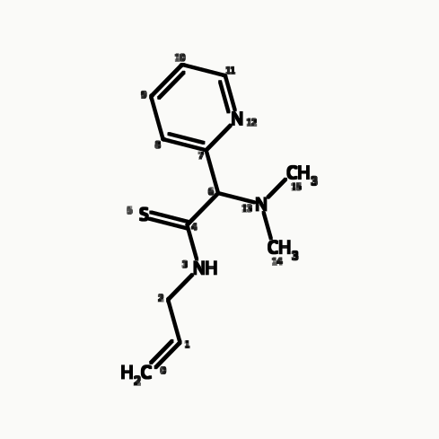 C=CCNC(=S)C(c1ccccn1)N(C)C